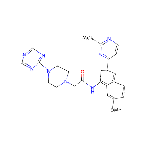 CNc1nccc(-c2cc(NC(=O)CN3CCN(c4ncncn4)CC3)c3cc(OC)ccc3c2)n1